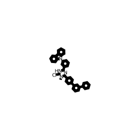 CN1C(Cl)NC(c2cccc(-n3c4ccccc4c4ccccc43)c2)=NC1c1ccc(-c2cccc(-c3ccccc3)c2)cc1